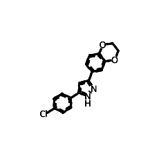 Clc1ccc(-c2cc(-c3ccc4c(c3)OCCO4)n[nH]2)cc1